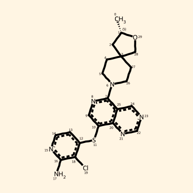 C[C@H]1CC2(CCN(c3ncc(Sc4ccnc(N)c4Cl)c4ncncc34)CC2)CO1